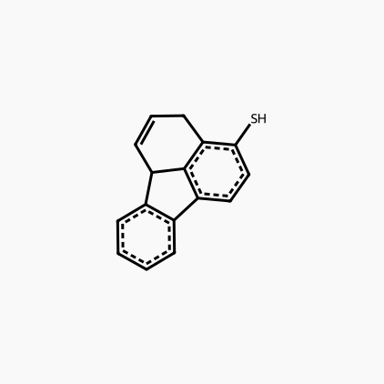 Sc1ccc2c3c1CC=CC3c1ccccc1-2